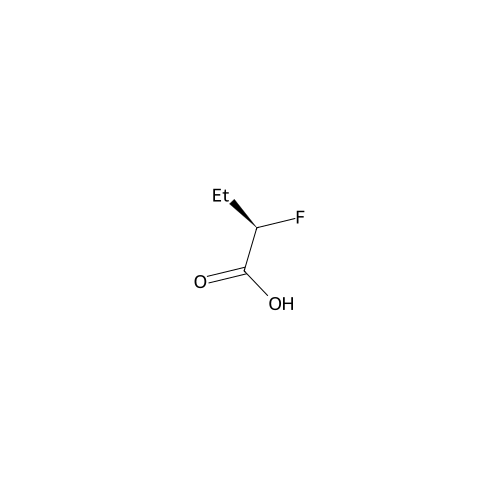 CC[C@@H](F)C(=O)O